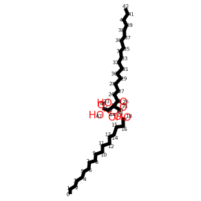 CCCCCCCCCCCCCCCCCC(=O)OC(=O)C(O)(C(=O)CCCCCCCCCCCCCCCCC)C(O)C(=O)O